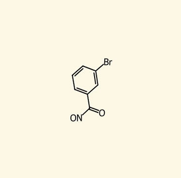 O=NC(=O)c1cccc(Br)c1